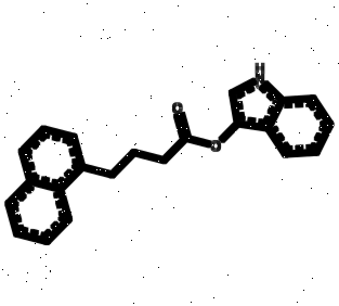 O=C(CCCc1cccc2ccccc12)Oc1c[nH]c2ccccc12